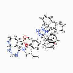 CCCCN(Cc1ccc(-c2ccccc2-c2nnnn2C(c2ccccc2)(c2ccccc2)c2ccccc2)cc1)c1ncnc2nccc(C(=O)OC)c12